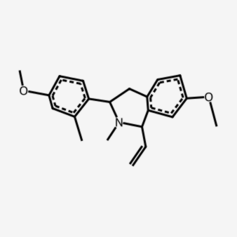 C=CC1c2cc(OC)ccc2CC(c2ccc(OC)cc2C)N1C